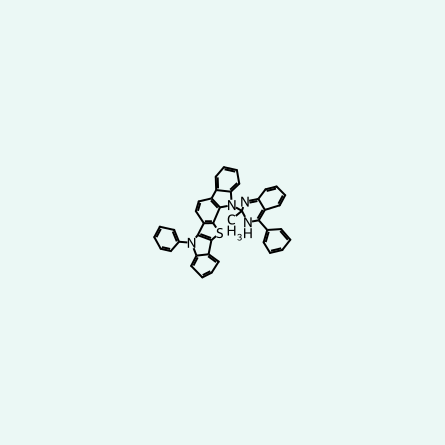 CC1(n2c3ccccc3c3ccc4c(sc5c6ccccc6n(-c6ccccc6)c45)c32)N=c2ccccc2=C(c2ccccc2)N1